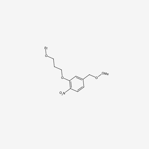 CCOCCCOc1cc(COOC)ccc1[N+](=O)[O-]